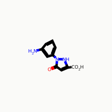 Nc1cccc(-n2[nH]c(C(=O)O)cc2=O)c1